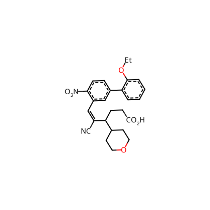 CCOc1ccccc1-c1ccc([N+](=O)[O-])c(C=C(C#N)C(CCC(=O)O)C2CCOCC2)c1